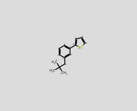 CC(C)(C)Cc1cccc(-c2cccs2)c1